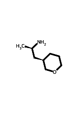 C[C@@H](N)C[C@H]1CCCOC1